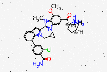 COc1cc(C(=O)[C@]23CC[C@H](CN2)[C@H]3N)cc2nc(-c3cc4cccc(-c5ccc(C(N)=O)c(Cl)c5)c4n3CC3CC3)n(C)c12